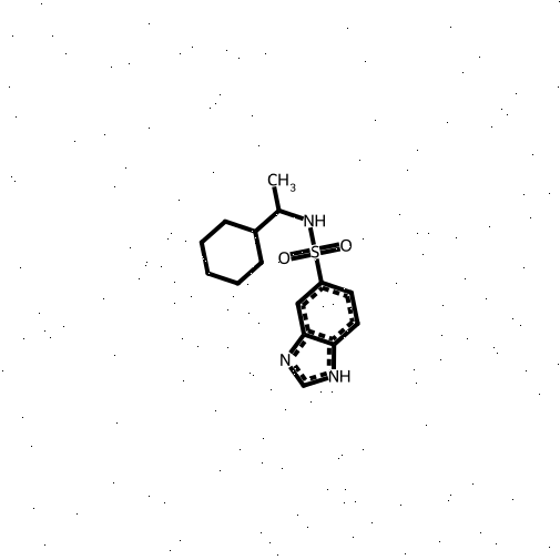 CC(NS(=O)(=O)c1ccc2[nH]cnc2c1)C1CCCCC1